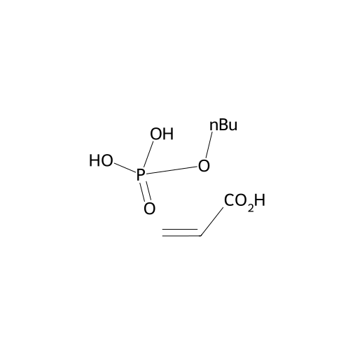 C=CC(=O)O.CCCCOP(=O)(O)O